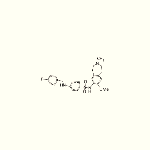 COc1cc2c(cc1NS(=O)(=O)c1ccc(NCc3ccc(F)cc3)cc1)CCN(C)CC2